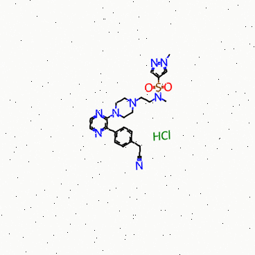 CN(CCN1CCN(c2nccnc2-c2ccc(CC#N)cc2)CC1)S(=O)(=O)c1cnn(C)c1.Cl